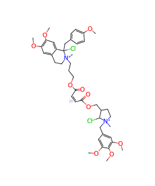 COc1ccc(CC2(Cl)c3cc(OC)c(OC)cc3CC[N+]2(C)CCCOC(=O)/C=C\C(=O)OCC2CC[N+](C)(Cc3cc(OC)c(OC)c(OC)c3)C2Cl)cc1